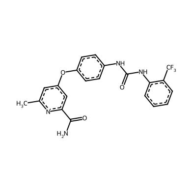 Cc1cc(Oc2ccc(NC(=O)Nc3ccccc3C(F)(F)F)cc2)cc(C(N)=O)n1